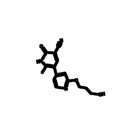 Cc1[nH]c(=O)c(C#N)cc1-c1ccnc(OCCCO)c1